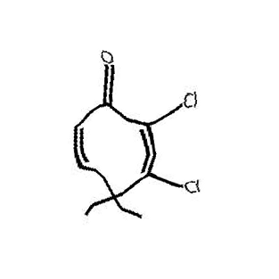 CC1(C)C=CC(=O)C(Cl)=C1Cl